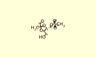 CC1(C=O)O[C@H](CO)[C@@H](COS(C)(=O)=O)O1